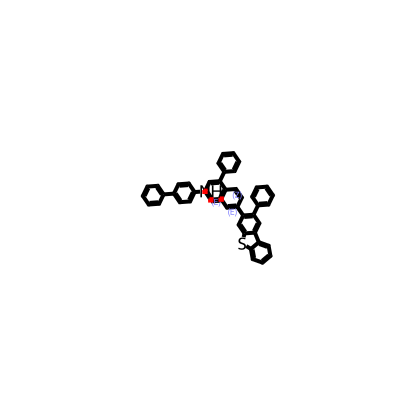 C(=C/c1ccccc1-c1ccccc1)/C(=C\C=C\Nc1ccc(-c2ccccc2)cc1)c1cc2sc3ccccc3c2cc1-c1ccccc1